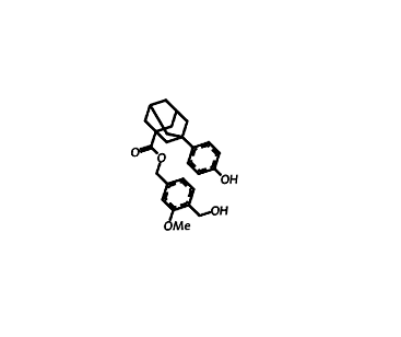 COc1cc(COC(=O)C23CC4CC(C2)CC(c2ccc(O)cc2)(C4)C3)ccc1CO